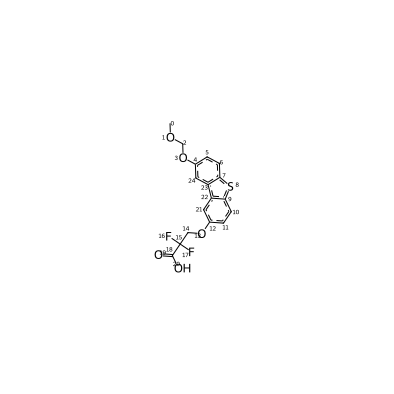 COCOc1ccc2sc3ccc(OCC(F)(F)C(=O)O)cc3c2c1